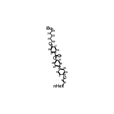 CCCCCCC=COc1ccc(-c2ccc(OC(=O)c3ccc(OCCCCCC(C)CC)cc3)cc2)cc1